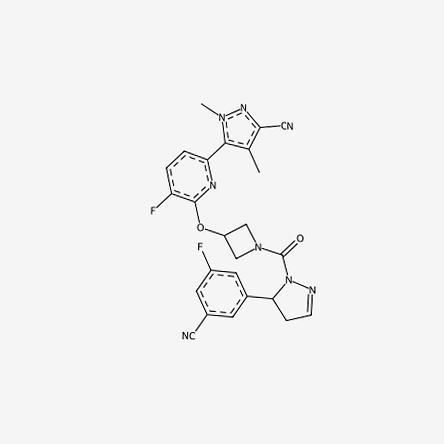 Cc1c(C#N)nn(C)c1-c1ccc(F)c(OC2CN(C(=O)N3N=CCC3c3cc(F)cc(C#N)c3)C2)n1